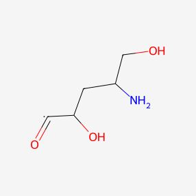 NC(CO)CC(O)[C]=O